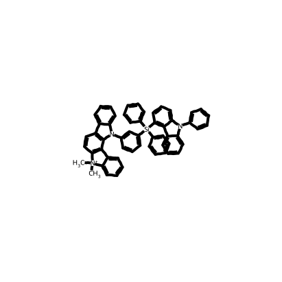 C[N+]1(C)c2ccccc2-c2c1ccc1c3ccccc3n(-c3cccc([Si](c4ccccc4)(c4ccccc4)c4cccc5c4c4ccccc4n5-c4ccccc4)c3)c21